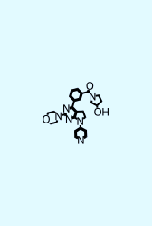 O=C(c1cccc(-c2nc(N3CCOCC3)nc3c2CCN3c2ccncc2)c1)N1CCC(O)C1